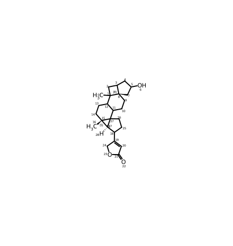 CC12CC3CC(O)C[C@]31CCC1C2CC[C@@]2(C)[C@@H]3C(C4=CC(=O)OC4)CCC132